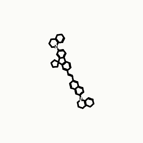 C1=CC2=C(CC1)CCCN2c1ccc2c(c1)C1(CCCC1)c1cc(/C=C/c3ccc4cc(N5CCCC6=C5C=CCC6)ccc4c3)ccc1-2